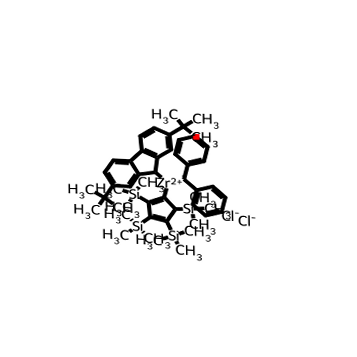 CC(C)(C)c1ccc2c(c1)[CH]([Zr+2]([C]1=C([Si](C)(C)C)C([Si](C)(C)C)=C([Si](C)(C)C)C1[Si](C)(C)C)=[C](c1ccccc1)c1ccccc1)c1cc(C(C)(C)C)ccc1-2.[Cl-].[Cl-]